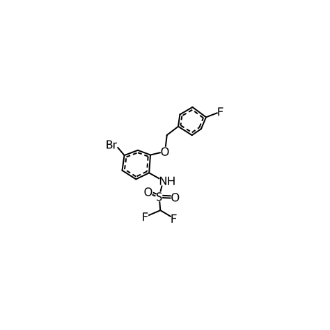 O=S(=O)(Nc1ccc(Br)cc1OCc1ccc(F)cc1)C(F)F